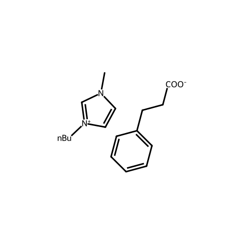 CCCC[n+]1ccn(C)c1.O=C([O-])CCc1ccccc1